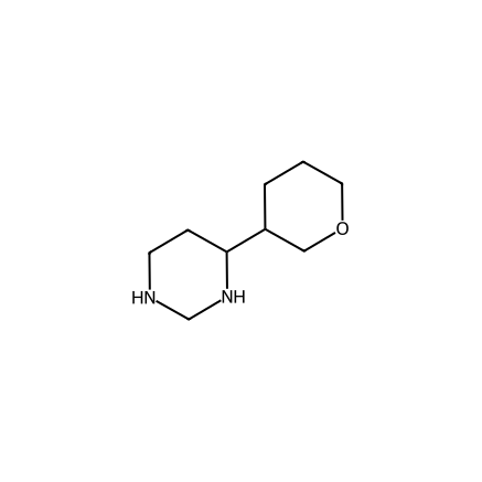 C1COCC(C2CCNCN2)C1